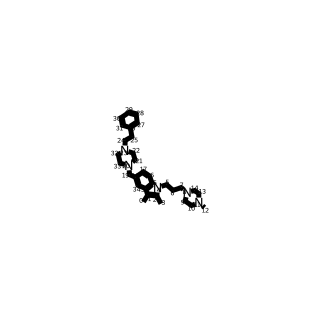 Cc1c(C)n(CCCN2CCN(C)CC2)c2ccc(CN3CCN(CCc4ccccc4)CC3)cc12